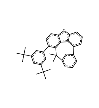 CC(C)(C)c1cc(-c2ccc3oc4cccc5c4c3c2C(C)(C)c2cccc-5c2)cc(C(C)(C)C)c1